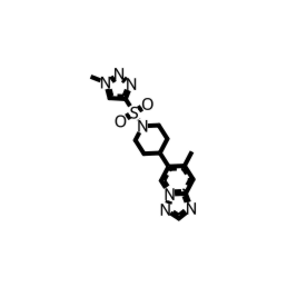 Cc1cc2ncnn2cc1C1CCN(S(=O)(=O)c2cn(C)nn2)CC1